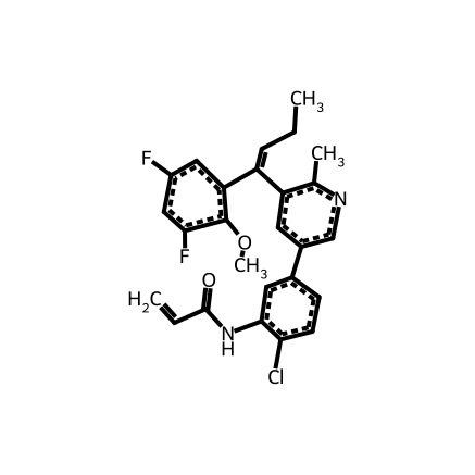 C=CC(=O)Nc1cc(-c2cnc(C)c(/C(=C\CC)c3cc(F)cc(F)c3OC)c2)ccc1Cl